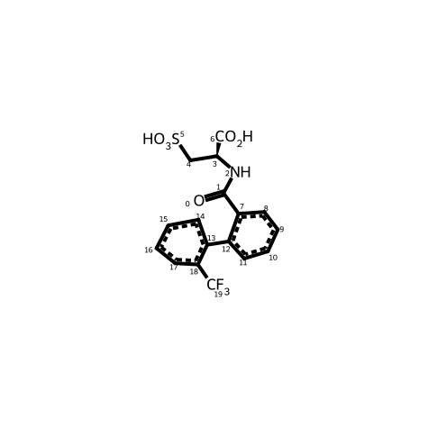 O=C(N[C@@H](CS(=O)(=O)O)C(=O)O)c1ccccc1-c1ccccc1C(F)(F)F